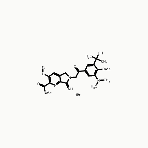 Br.CCOc1cc2c(nc1C(=O)NC)C(=N)N(CC(=O)c1cc(N(C)C)c(OC)c(C(C)(C)O)c1)C2